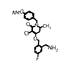 COc1ccc(CN2C(=O)C(Cl)=C(OCc3ccc(F)cc3CN)CC2C)cc1